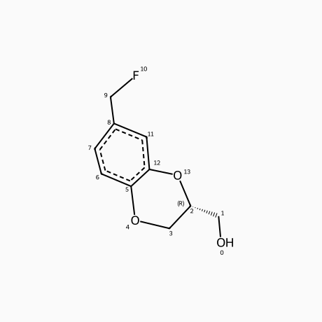 OC[C@@H]1COc2ccc(CF)cc2O1